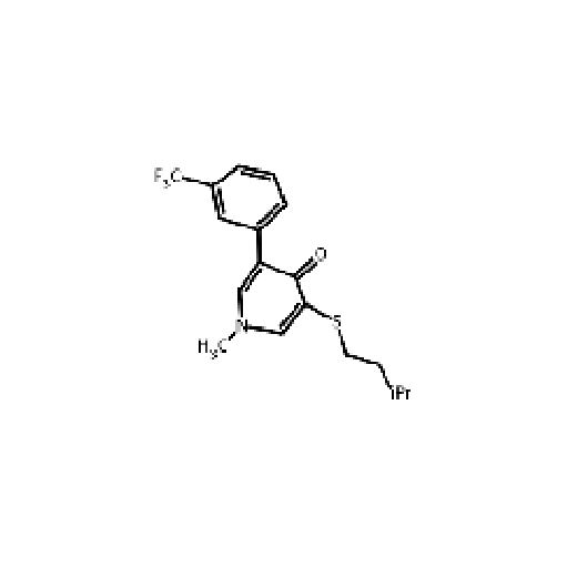 CC(C)CCSc1cn(C)cc(-c2cccc(C(F)(F)F)c2)c1=O